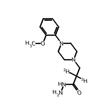 [2H]C([2H])(CN1CCN(c2ccccc2OC)CC1)C(=O)NN